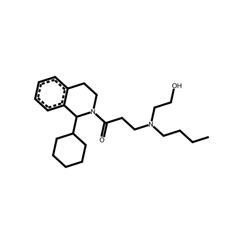 CCCCN(CCO)CCC(=O)N1CCc2ccccc2C1C1CCCCC1